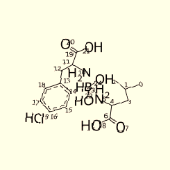 CC(C)CC(N)C(=O)O.Cl.NC(Cc1ccccc1)C(=O)O.OBO